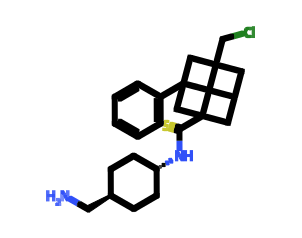 NC[C@H]1CC[C@H](NC(=S)C23CC4CC5(CCl)CC(c6ccccc6)(C2)C453)CC1